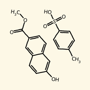 COC(=O)c1ccc2cc(O)ccc2c1.Cc1ccc(S(=O)(=O)O)cc1